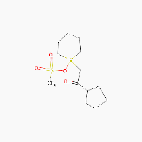 O=C(CS1(OS(=O)(=O)C(F)(F)F)CCCCC1)C1CCCC1